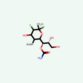 CC(=O)NC1C(O)C(F)C(F)(C(=O)O)OC1[C@H](OC(N)=O)[C@H](O)CO